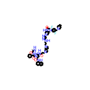 CN[C@@H](C)C(=O)N[C@H](C(=O)N1C[C@@H](NC(=O)CCN2CC[C@]3(CCN(CCCNc4cc(N5CCC6(CC5)CN(c5cc(F)c(CN7CCC(C)(C)CC7)cc5F)CC(=O)N6)ncn4)C3)C2)C[C@H]1C(=O)N[C@H]1CCCc2ccccc21)C1CCCCC1